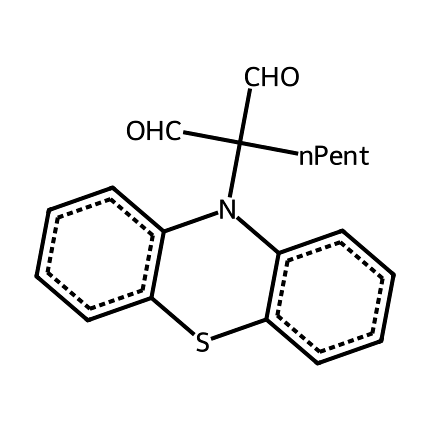 CCCCCC(C=O)(C=O)N1c2ccccc2Sc2ccccc21